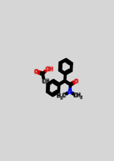 CC(=O)O.CN(C)C(=O)C(c1ccccc1)c1ccccc1